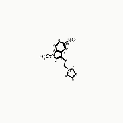 Cn1cc(CCN2CCCC2)c2cc(N=O)ccc21